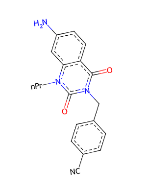 CCCn1c(=O)n(Cc2ccc(C#N)cc2)c(=O)c2ccc(N)cc21